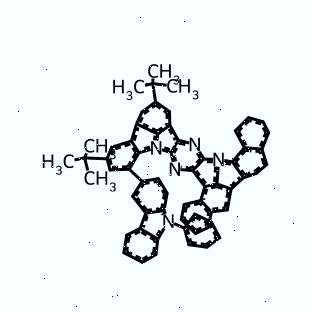 CC(C)(C)c1cc(-c2ccc3c(c2)c2ccccc2n3-c2ccccc2)c2c(c1)c1cc(C(C)(C)C)cc3c4nc5c(nc4n2c13)c1c2ccccc2cc2c3ccc4ccccc4c3n5c21